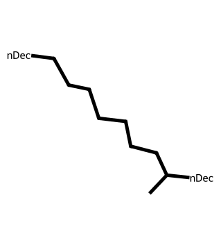 [CH2]CCCCCCCCCCCCCCCCC(C)CCCCCCCCC[CH2]